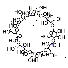 OCCC1OC(O)/C(O)=C(/O)C(CCO)OC(O)/C(O)=C(\O)C(CCO)O/C(O)=C(\O)C(CCO)OC(O)C(O)C(O)C(CCO)OC(O)/C(O)=C(/O)C(CCO)OC(O)/C(O)=C(\O)C(CCO)OC2OC(CO)C(O/C(O)=C/1O)C(O)C2O